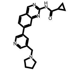 O=C(Nc1ncc2ccc(-c3cncc(CN4CCCC4)c3)cc2n1)C1CC1